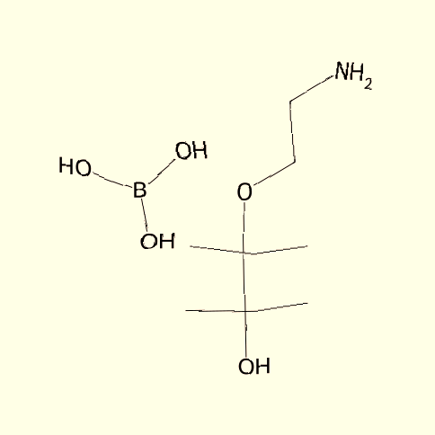 CC(C)(O)C(C)(C)OCCN.OB(O)O